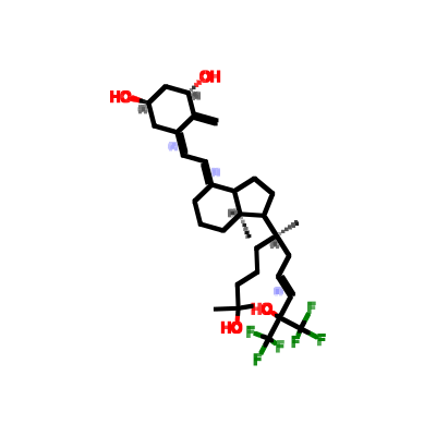 C=C1/C(=C\C=C2/CCC[C@@]3(C)C2CCC3[C@@](C)(C/C=C/C(O)(C(F)(F)F)C(F)(F)F)CCCC(C)(C)O)C[C@@H](O)C[C@@H]1O